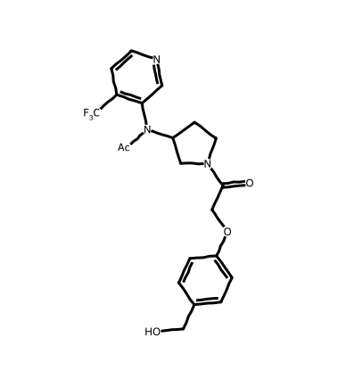 CC(=O)N(c1cnccc1C(F)(F)F)C1CCN(C(=O)COc2ccc(CO)cc2)C1